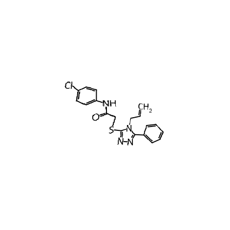 C=CCn1c(SCC(=O)Nc2ccc(Cl)cc2)nnc1-c1ccccc1